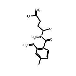 BP(C(=O)c1ccc(F)cc1C=C)C(CCC(=C)C)C(C)=O